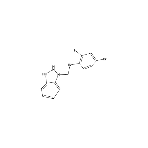 Fc1cc(Br)ccc1NCN1NNc2ccccc21